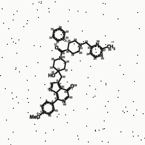 COc1ccc(C2=C3N=CC(CC4(O)CCN(C(=O)[C@@H]5CCN(Cc6ccnc(C)n6)C[C@H]5c5ccccc5)CC4)=C3C(=O)C=N2)cc1